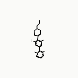 CCCC1CC=C(c2c(F)cc(-c3c(F)cccc3F)cc2F)CC1